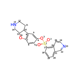 O=S(=O)(Oc1ccc2c(c1)C1CCNCC1O2)c1cccc2cnccc12